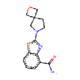 NC(=O)c1[c]ccc2sc(N3CCC4(COC4)C3)nc12